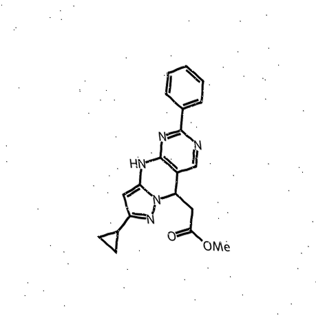 COC(=O)CC1c2cnc(-c3ccccc3)nc2Nc2cc(C3CC3)nn21